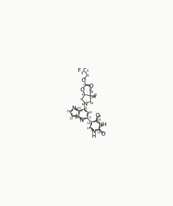 O=C(OCC(F)(F)F)O[C@@H]1CN(c2cc(-c3c[nH]c(=O)[nH]c3=O)nn3ccnc23)CC1(F)F